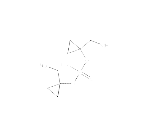 CP(=O)(OC1(CO)CC1)OC1(CO)CC1